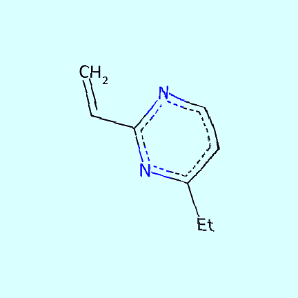 C=Cc1nccc(CC)n1